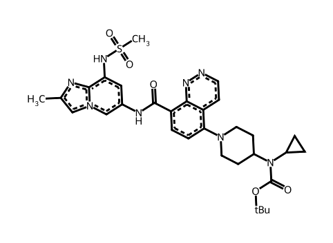 Cc1cn2cc(NC(=O)c3ccc(N4CCC(N(C(=O)OC(C)(C)C)C5CC5)CC4)c4ccnnc34)cc(NS(C)(=O)=O)c2n1